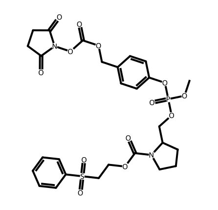 COP(=O)(OCC1CCCN1C(=O)OCCS(=O)(=O)c1ccccc1)Oc1ccc(COC(=O)ON2C(=O)CCC2=O)cc1